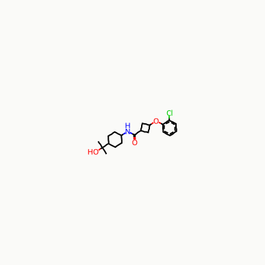 CC(C)(O)C1CCC(NC(=O)C2CC(Oc3ccccc3Cl)C2)CC1